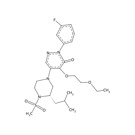 CCOCCOc1c(N2CCN(S(C)(=O)=O)[C@@H](CC(C)C)C2)cnn(-c2cccc(F)c2)c1=O